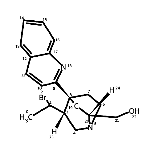 CC(Br)[C@H]1CN2CC[C@]1(c1ccc3ccccc3n1)C[C@@H]2CO